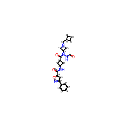 O=CNN(C(=O)C1CC(NC(=O)c2cc(-c3ccccc3)no2)C1)C1CN(CC2CCC2)C1